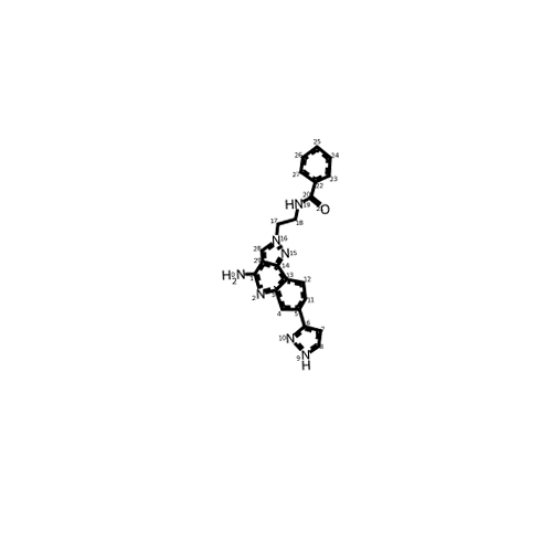 Nc1nc2cc(-c3cc[nH]n3)ccc2c2nn(CCNC(=O)c3ccccc3)cc12